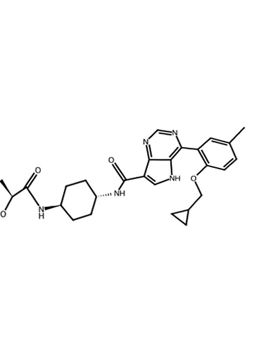 Cc1ccc(OCC2CC2)c(-c2ncnc3c(C(=O)N[C@H]4CC[C@H](NC(=O)[C@H](C)O)CC4)c[nH]c23)c1